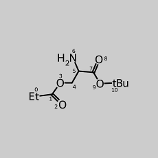 CCC(=O)OCC(N)C(=O)OC(C)(C)C